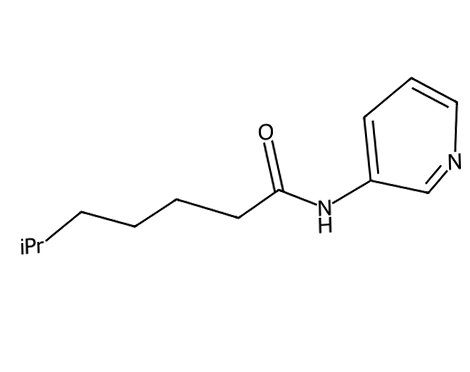 CC(C)CCCCC(=O)Nc1cccnc1